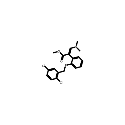 COC(=O)/C(=C/N(C)C)c1ccccc1SCc1cc(Cl)ccc1Cl